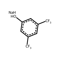 Oc1cc(C(F)(F)F)cc(C(F)(F)F)c1.[NaH]